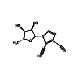 C#Cc1c(C#N)ncn1[C@@H]1O[C@H](C)[C@@H](O)[C@H]1O